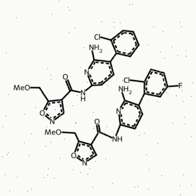 COCc1oncc1C(=O)Nc1ccc(-c2cc(F)ccc2Cl)c(N)n1.COCc1oncc1C(=O)Nc1ccc(-c2ccccc2Cl)c(N)n1